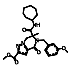 COC(=O)c1cc2n(n1)CC(C)(C(=O)NC1CCCCCC1)N(Cc1cccc(OC)c1)C2=O